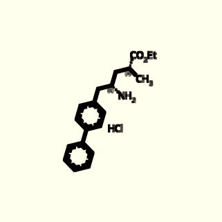 CCOC(=O)[C@H](C)C[C@H](N)Cc1ccc(-c2ccccc2)cc1.Cl